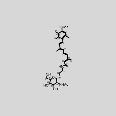 COc1cc(C)c(C=CC(C)=CC=CC(C)=CC(=O)NCCO[C@H]2O[C@H](CO)[C@@H](O)[C@H](O)[C@@H]2NC(C)=O)c(C)c1C